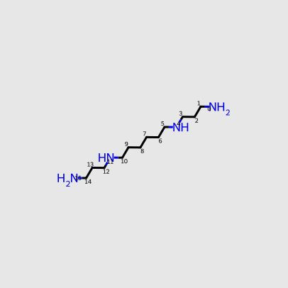 NCCCNCCCCCCNCCCN